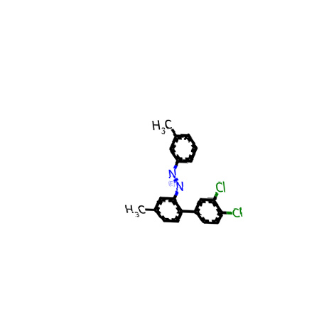 Cc1cccc(/N=N/c2cc(C)ccc2-c2ccc(Cl)c(Cl)c2)c1